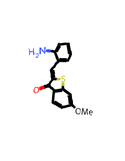 COc1ccc2c(c1)SC(=Cc1ccccc1N)C2=O